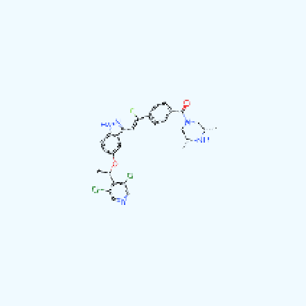 C[C@@H]1CN(C(=O)c2ccc(/C(F)=C/c3n[nH]c4ccc(O[C@H](C)c5c(Cl)cncc5Cl)cc34)cc2)C[C@H](C)N1